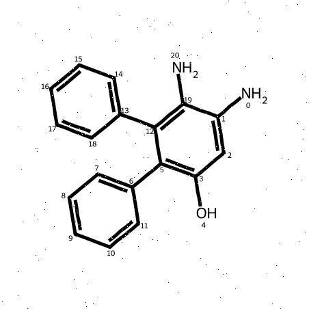 Nc1cc(O)c(-c2ccccc2)c(-c2ccccc2)c1N